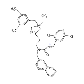 CC[N+](CC)(CCCCN(Cc1ccc2ccccc2c1)C(=O)/C=C/c1cc(Cl)ccc1Cl)Cc1cc(C)cc(C)c1